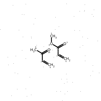 C=CC(=O)OC.C=CC(C)=O